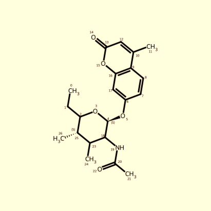 CCC1O[C@@H](Oc2ccc3c(C)cc(=O)oc3c2)C(NC(C)=O)C(C)[C@@H]1C